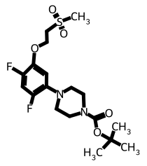 CC(C)(C)OC(=O)N1CCN(c2cc(OCCS(C)(=O)=O)c(F)cc2F)CC1